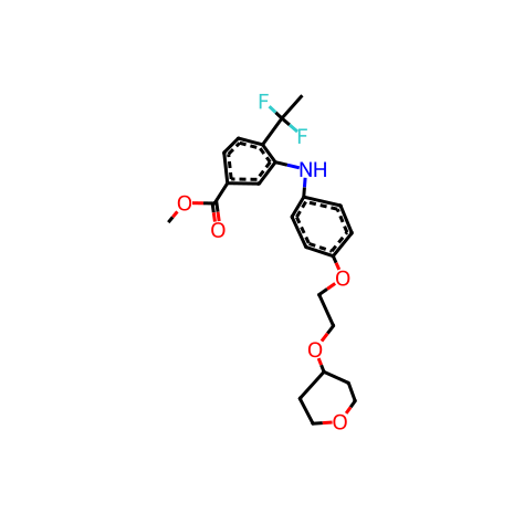 COC(=O)c1ccc(C(C)(F)F)c(Nc2ccc(OCCOC3CCOCC3)cc2)c1